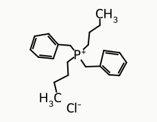 CCCC[P+](CCCC)(Cc1ccccc1)Cc1ccccc1.[Cl-]